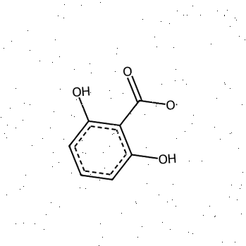 [O]C(=O)c1c(O)cccc1O